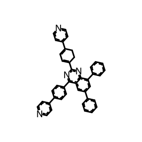 C1=C(c2ccncc2)CCC(c2nc(-c3ccc(-c4ccncc4)cc3)c3cc(-c4ccccc4)cc(-c4ccccc4)c3n2)=C1